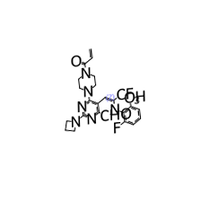 C=CC(=O)N1CCN(c2nc(N3CCC3)nc(C=O)c2/C=C(\N(C)c2c(O)cccc2F)C(F)(F)F)CC1